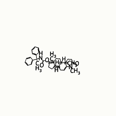 CN1C(=O)CC[C@@]2(C)C1=CC[C@H]1[C@@H]3CC[C@H](OC(=O)NC(C)(c4ccccc4)c4ccccc4)[C@@]3(C)CC[C@@H]12